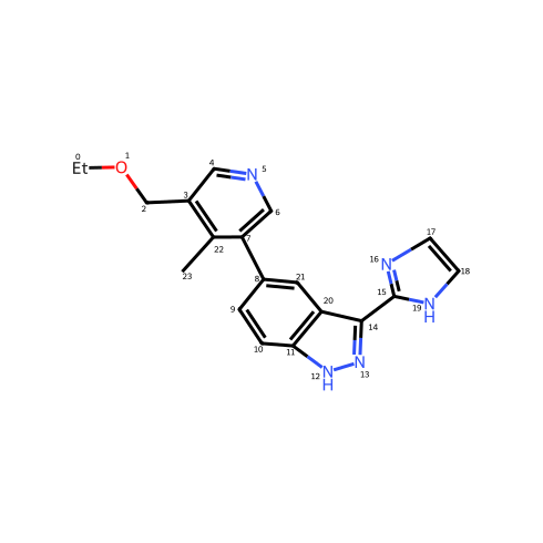 CCOCc1cncc(-c2ccc3[nH]nc(-c4ncc[nH]4)c3c2)c1C